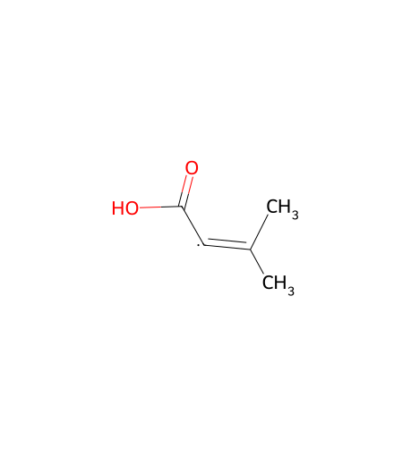 CC(C)=[C]C(=O)O